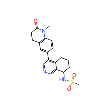 CN1C(=O)CCc2cc(-c3cncc4c3CCCC4NS(C)(=O)=O)ccc21